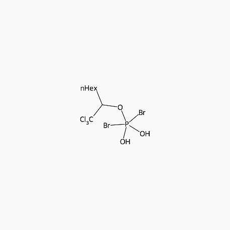 CCCCCCC(OP(O)(O)(Br)Br)C(Cl)(Cl)Cl